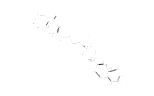 CC(CCCC(=O)NC1=C(C=O)CCCC1)N1CCN(c2ccc3ccccc3n2)CC1